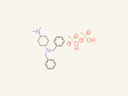 CN(C)[C@H]1CC[C@H](N(Cc2ccccc2)Cc2ccccc2)CC1.CS(=O)(=O)O.CS(=O)(=O)O